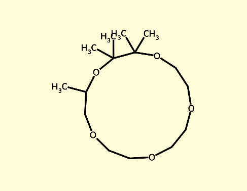 CC1COCCOCCOCCOC(C)(C)C(C)(C)O1